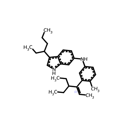 C/C=C(\c1cc(Nc2ccc3c(C(CC)CCC)c[nH]c3c2)ccc1C)C(CC)CC